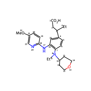 CCC(CC(=O)O)c1ccc(N(CC)C2CCOCC2)c(Nc2ccc(OC)cn2)c1